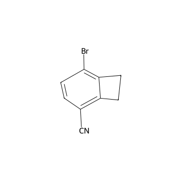 N#Cc1ccc(Br)c2c1CC2